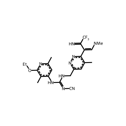 CCOc1nc(C)cc(N/C(=N/C#N)NCc2cc(C)c(/C(=C/NC)C(=N)C(F)(F)F)nn2)c1C